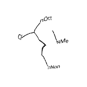 CCCCCCCCCCCC(Cl)CCCCCCCC.CNC